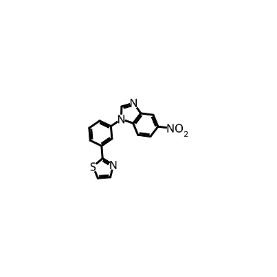 O=[N+]([O-])c1ccc2c(c1)ncn2-c1cccc(-c2nccs2)c1